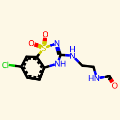 O=CNCCNC1=NS(=O)(=O)c2cc(Cl)ccc2N1